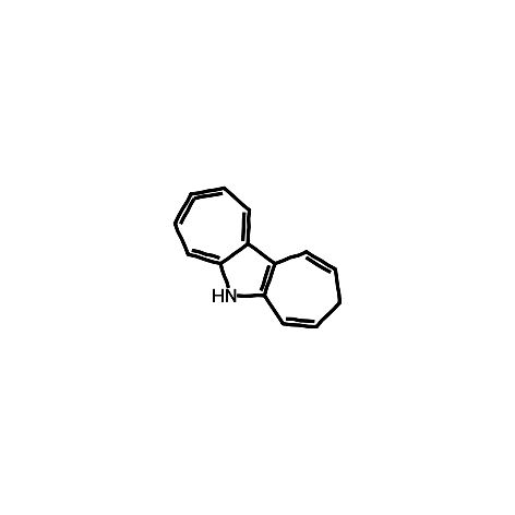 C1=CC=c2[nH]c3c(c2=CC=1)C=CCC=C3